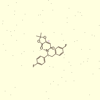 CN(C(=O)/C=C1/OC(C)(C)OC1=O)C(Cc1ccc(F)cc1)c1ccc(F)cc1